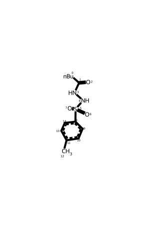 CCCCC(=O)NNS(=O)(=O)c1ccc(C)cc1